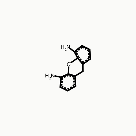 Nc1cccc2c1Oc1c(N)cccc1C2